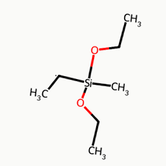 C[CH][Si](C)(OCC)OCC